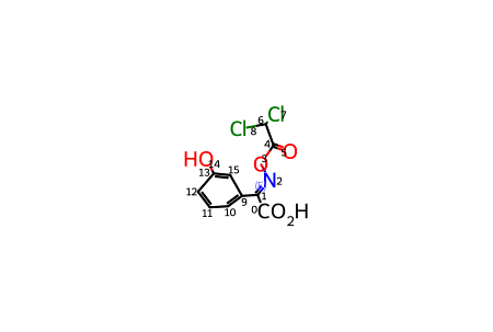 O=C(O)/C(=N/OC(=O)C(Cl)Cl)c1cccc(O)c1